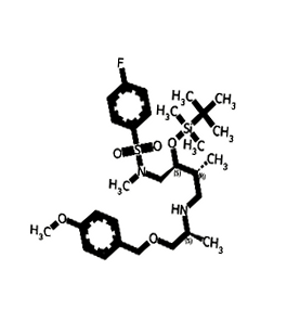 COc1ccc(COC[C@H](C)NC[C@@H](C)[C@@H](CN(C)S(=O)(=O)c2ccc(F)cc2)O[Si](C)(C)C(C)(C)C)cc1